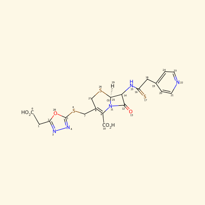 O=C(O)Cc1nnc(SCC2=C(C(=O)O)N3C(=O)C(NC(=S)Cc4ccncc4)[C@@H]3SC2)o1